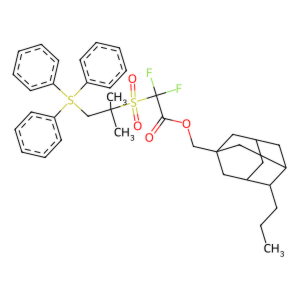 CCCC1C2CC3CC1CC(COC(=O)C(F)(F)S(=O)(=O)C(C)(C)CS(c1ccccc1)(c1ccccc1)c1ccccc1)(C3)C2